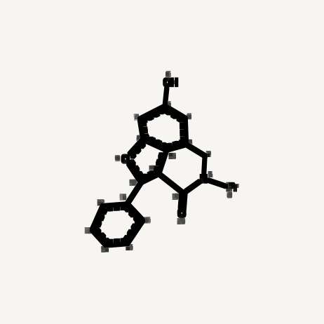 CC(C)N1Cc2cc(O)cc3oc(-c4ccccc4)c(c23)C1=O